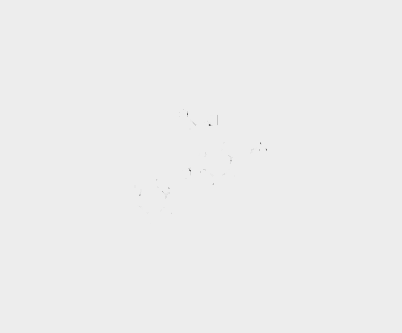 N#Cc1ccc(OCc2ccccc2)c(CC(=O)Cl)c1